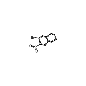 O=[SH](=O)c1cc2ccccc2cc1Br